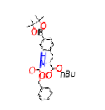 CCCCOC(=O)C(Cc1ccc(B2OC(C)(C)C(C)(C)O2)cc1)NC(=O)OCc1ccccc1